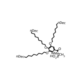 CC(=O)O.CCCCCCCCCCCCCCCCCCOc1cc(C(=O)NC)cc(OCCCCCCCCCCCCCCCCCC)c1OCCCCCCCCCCCCCCCCCC